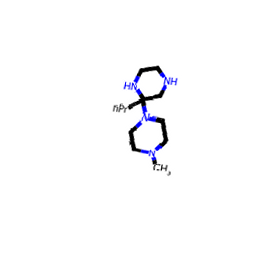 CCCC1(N2CCN(C)CC2)CNCCN1